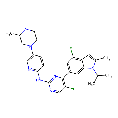 Cc1cc2c(F)cc(-c3nc(Nc4ccc(N5CCNC(C)C5)cn4)ncc3F)cc2n1C(C)C